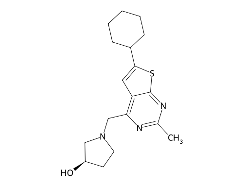 Cc1nc(CN2CC[C@@H](O)C2)c2cc(C3CCCCC3)sc2n1